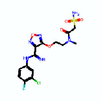 CN(CCOc1nonc1C(=N)Nc1ccc(F)c(Cl)c1)C(=O)CS(N)(=O)=O